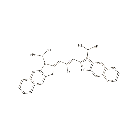 CCCC(S)N1C(=C/C(=C/c2oc3cc4ccccc4cc3[n+]2C(S)CCC)CC)Oc2cc3ccccc3cc21